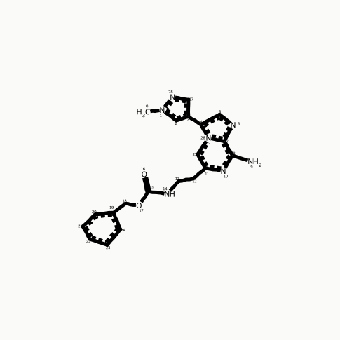 Cn1cc(-c2cnc3c(N)nc(CCNC(=O)OCc4ccccc4)cn23)cn1